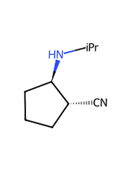 CC(C)N[C@@H]1CCC[C@H]1C#N